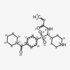 C=CC(=O)NC(C1CCNCC1)S(=O)(=O)c1ccc(C(=O)N2CCCCC2)cc1